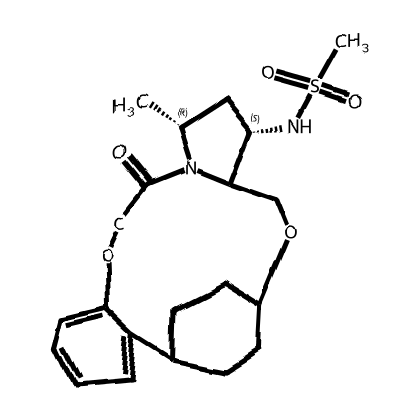 C[C@@H]1C[C@H](NS(C)(=O)=O)C2COC3CCC(CC3)c3ccccc3OCC(=O)N21